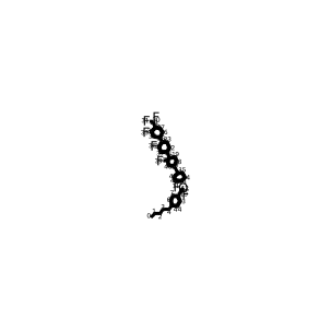 CCCCCc1ccc(C(F)(F)Oc2ccc(-c3ccc(-c4ccc(-c5ccc(C(F)F)c(F)c5)c(F)c4)c(F)c3)cc2)cc1